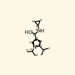 CC(C)c1cc(C(O)NC2CC2)cn1C(C)C